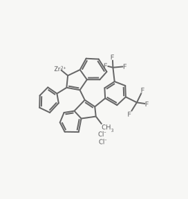 CC1C(c2cc(C(F)(F)F)cc(C(F)(F)F)c2)=C(C2=C(c3ccccc3)[CH]([Zr+2])c3ccccc32)c2ccccc21.[Cl-].[Cl-]